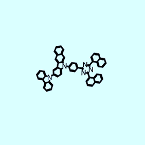 c1ccc2cc3c(cc2c1)c1cc(-n2c4ccccc4c4ccccc42)ccc1n3-c1ccc(-c2nc(-c3cccc4ccccc34)nc(-c3cccc4ccccc34)n2)cc1